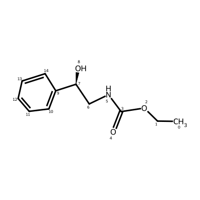 CCOC(=O)NC[C@H](O)c1ccccc1